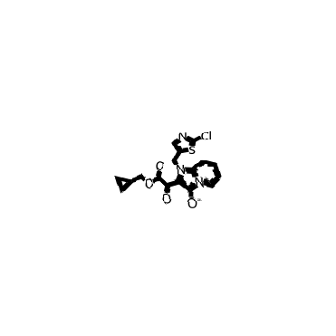 O=C(OCC1CC1)C(=O)c1c([O-])[n+]2ccccc2n1Cc1cnc(Cl)s1